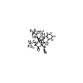 CN(C(=O)[C@H](CC1CC1)NC(=O)C(F)(F)F)[C@@H](CC1CC1)C(=O)N1C[C@]2(Cc3ccccc3NC2=O)C[C@H]1C#N